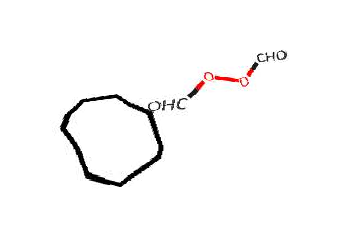 C1CCCCCC1.O=COOC=O